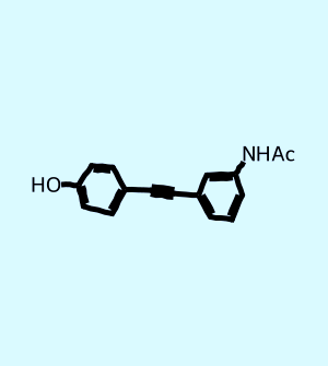 CC(=O)Nc1cccc(C#Cc2ccc(O)cc2)c1